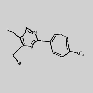 Cc1cnc(-c2ccc(C(F)(F)F)cc2)nc1CBr